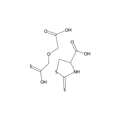 O=C(O)C1CSC(=S)N1.O=C(O)COCC(O)=S